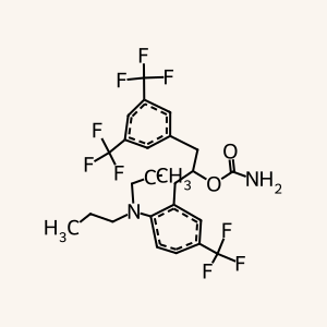 CCCN(CCC)c1ccc(C(F)(F)F)cc1CC(Cc1cc(C(F)(F)F)cc(C(F)(F)F)c1)OC(N)=O